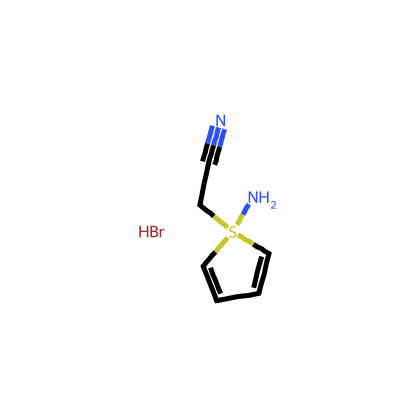 Br.N#CCS1(N)C=CC=C1